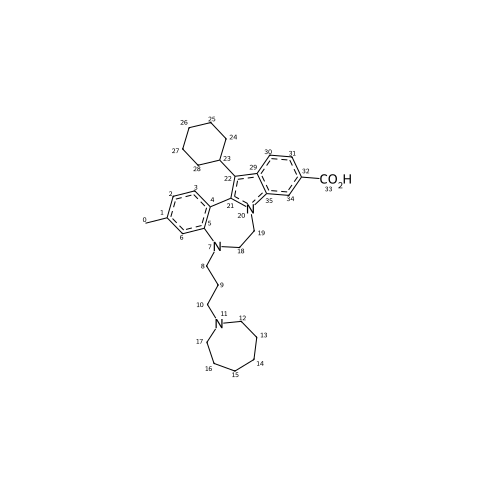 Cc1ccc2c(c1)N(CCCN1CCCCCC1)CCn1c-2c(C2CCCCC2)c2ccc(C(=O)O)cc21